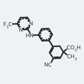 CC1(C(=O)O)C=C(C#N)C=C(c2cccc(Nc3nccc(C(F)(F)F)n3)c2)C1